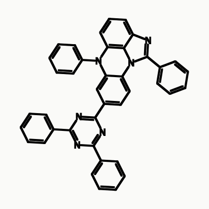 c1ccc(-c2nc(-c3ccccc3)nc(-c3ccc4c(c3)N(c3ccccc3)c3cccc5nc(-c6ccccc6)n-4c35)n2)cc1